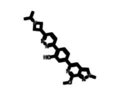 COc1nc(-c2ccc(-c3ccc(C4CN(C(C)C)C4)nn3)c(O)c2)cc2cn(C)nc12